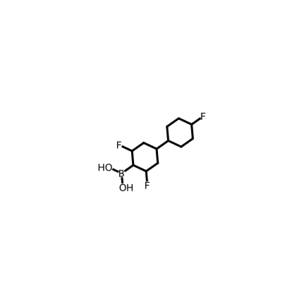 OB(O)C1C(F)CC(C2CCC(F)CC2)CC1F